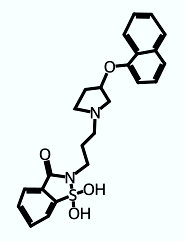 O=C1c2ccccc2S(O)(O)N1CCCN1CCC(Oc2cccc3ccccc23)C1